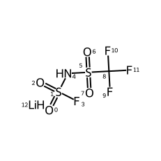 O=S(=O)(F)NS(=O)(=O)C(F)(F)F.[LiH]